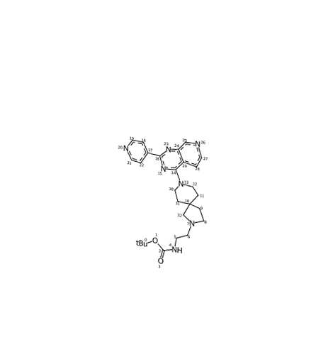 CC(C)(C)OC(=O)NCCN1CCC2(CCN(c3nc(-c4ccncc4)nc4cnccc34)CC2)C1